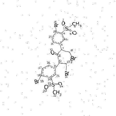 CS(=O)(=O)c1cc(C(CBr)C(=O)C(CBr)c2ccc(Br)c(S(C)(=O)=O)c2)ccc1Br